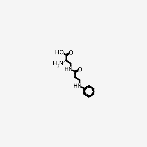 N[C@@H](CNC(=O)CCNc1ccccc1)C(=O)O